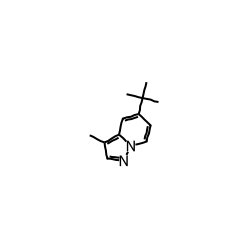 Cc1cnn2ccc(C(C)(C)C)cc12